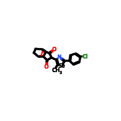 Cc1[se]c(-c2ccc(Cl)cc2)nc1C1C(=O)C2C3CCC(O3)C2C1=O